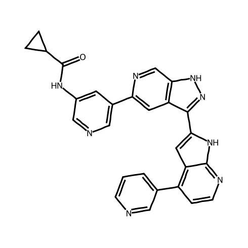 O=C(Nc1cncc(-c2cc3c(-c4cc5c(-c6cccnc6)ccnc5[nH]4)n[nH]c3cn2)c1)C1CC1